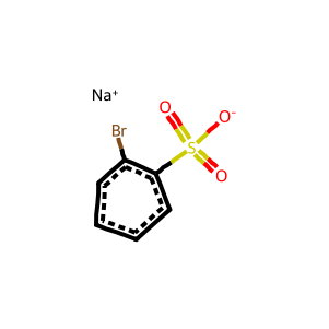 O=S(=O)([O-])c1ccccc1Br.[Na+]